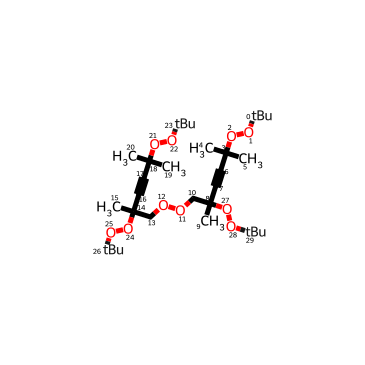 CC(C)(C)OOC(C)(C)C#CC(C)(COOCC(C)(C#CC(C)(C)OOC(C)(C)C)OOC(C)(C)C)OOC(C)(C)C